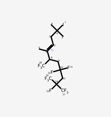 C/C(=C\CC(C)(C)I)C(CC(F)(F)CC(F)(C(F)(F)F)C(F)(F)F)C(F)(F)F